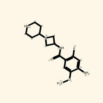 COc1cc(C(=O)NC2CN(C3CCNCC3)C2)c(F)cc1N